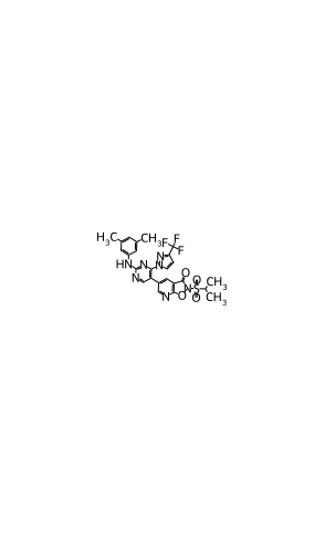 Cc1cc(C)cc(Nc2ncc(-c3cnc4on(S(=O)(=O)C(C)C)c(=O)c4c3)c(-n3ccc(C(F)(F)F)n3)n2)c1